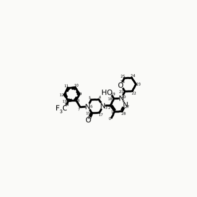 CC1=C(N2CCN(Cc3ccccc3C(F)(F)F)C(=O)C2)C(O)N(C2CCCCO2)N=C1